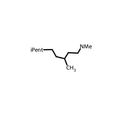 CCCC(C)CCC(C)CCNC